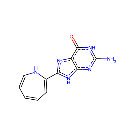 Nc1nc2[nH]c(C3=CC=CC=CN3)nc2c(=O)[nH]1